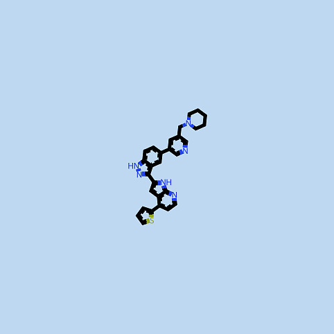 c1csc(-c2ccnc3[nH]c(-c4n[nH]c5ccc(-c6cncc(CN7CCCCC7)c6)cc45)cc23)c1